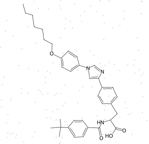 CCCCCCCOc1ccc(-n2cnc(-c3ccc(CC(NC(=O)c4ccc(C(C)(C)C)cc4)C(=O)O)cc3)c2)cc1